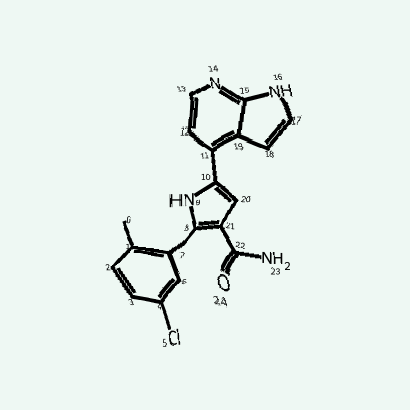 Cc1ccc(Cl)cc1-c1[nH]c(-c2ccnc3[nH]ccc23)cc1C(N)=O